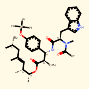 CO[C@@H](C(=O)O[C@H](C)[C@H](C)/C=C(\C)C[C@H](C)C(C)(C)C)[C@@H](NC(=O)[C@@H](Cc1c[nH]c2ccccc12)N(C)C(=O)C(C)C)c1ccc(O[Si](C(C)C)(C(C)C)C(C)C)cc1